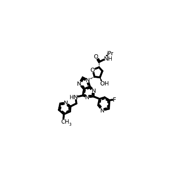 Cc1ccnc(CNc2nc(-c3cncc(F)c3)nc3c2ncn3[C@@H]2O[C@H](C(=O)NC(C)C)C[C@H]2O)c1